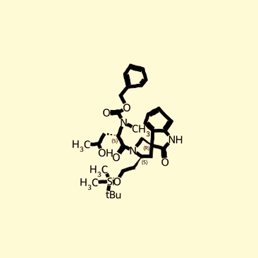 CC(O)C[C@@H](C(=O)N1C[C@]2(C[C@H]1CCO[Si](C)(C)C(C)(C)C)C(=O)Nc1ccccc12)N(C)C(=O)OCc1ccccc1